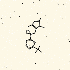 CC1=CC(C)=C(CC(=O)c2cccc(C(C)(C)C)c2)C1C